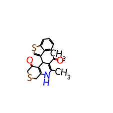 CC(=O)C1=C(C)NC2=C(C(=O)CSC2)C1c1csc2ccccc12